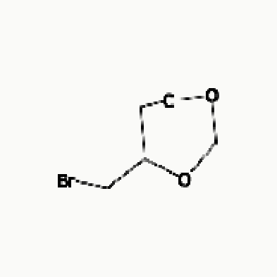 BrCC1CCOCO1